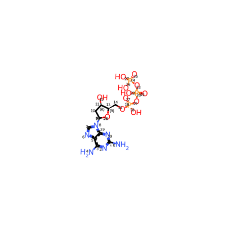 Nc1nc(N)c2ncn([C@H]3C[C@@H](O)[C@@H](COP(=O)(O)OP(=O)(O)OP(=O)(O)O)O3)c2n1